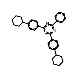 c1ccc(-c2nc(-c3ccc(C4CCCCC4)cc3)nc(-c3ccc(C4CCCCC4)cc3)n2)cc1